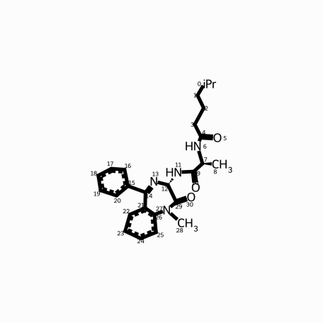 CC(C)CCCC(=O)N[C@@H](C)C(=O)N[C@H]1N=C(c2ccccc2)c2ccccc2N(C)C1=O